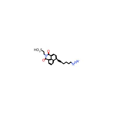 [N-]=[N+]=NCCCCC#Cc1ccc2c3c(cccc13)C(=O)N(CCS(=O)(=O)O)C2=O